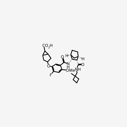 COc1cc(F)c(OC2CC3C(C2)C3C(=O)O)cc1C(=O)N[C@@H]1[C@H]2CC[C@H](C2)[C@@H]1C(=O)NCC1(C)CCC1